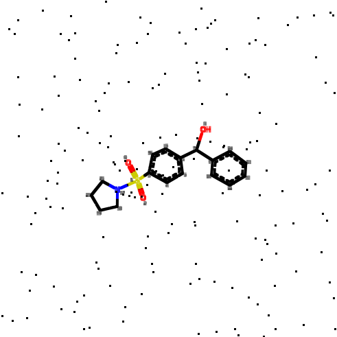 O=S(=O)(c1ccc(C(O)c2ccccc2)cc1)N1CCCC1